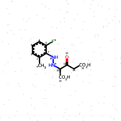 Cc1cccc(F)c1NNC(C(=O)O)C(=O)CC(=O)O